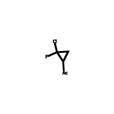 CC(=O)C1CC1(F)Cl